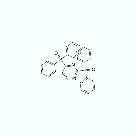 O=P(c1ccccc1)(c1ccccc1)c1ccnc(P(=O)(c2ccccc2)c2ccccc2)n1